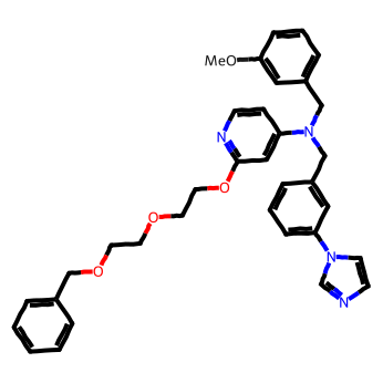 COc1cccc(CN(Cc2cccc(-n3ccnc3)c2)c2ccnc(OCCOCCOCc3ccccc3)c2)c1